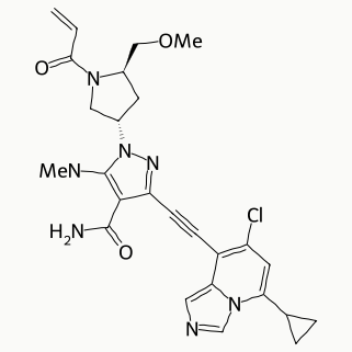 C=CC(=O)N1C[C@@H](n2nc(C#Cc3c(Cl)cc(C4CC4)n4cncc34)c(C(N)=O)c2NC)C[C@@H]1COC